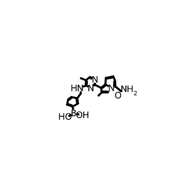 Cc1cnc(-c2c(C)cn3c(C(N)=O)cccc23)nc1NCc1cccc(B(O)O)c1